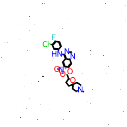 CN1CCC2(CCC(COc3cc4ncnc(Nc5ccc(F)c(Cl)c5)c4cc3[N+](=O)[O-])O2)CC1